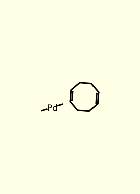 C1=CCCC=CCC1.[CH3][Pd][CH3]